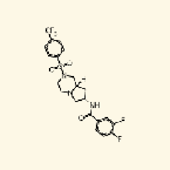 O=C(N[C@H]1C[C@H]2CN(S(=O)(=O)c3ccc(C(F)(F)F)cc3)CCN2C1)c1ccc(F)c(F)c1